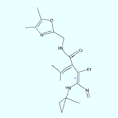 C=N/C(NC1(C)CC1)=C(\CC)C(C(=O)NCc1nc(C)c(C)o1)=C(C)C